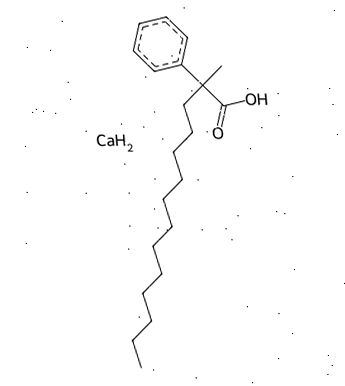 CCCCCCCCCCCCC(C)(C(=O)O)c1ccccc1.[CaH2]